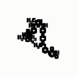 Cc1cnc(Nc2ccc(N3CCC(N(C)Cc4cccc(N5CCC(=O)NC5=O)c4)CC3)cc2)nc1Nc1cccc(S(=O)(=O)NC(C)(C)C)c1